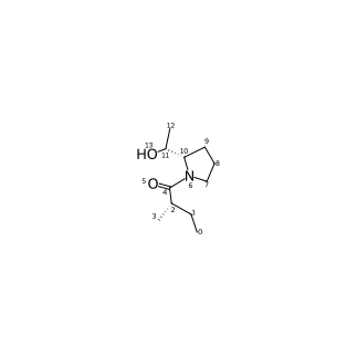 CC[C@H](C)C(=O)N1CCC[C@H]1C(C)O